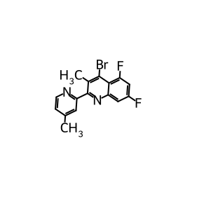 Cc1ccnc(-c2nc3cc(F)cc(F)c3c(Br)c2C)c1